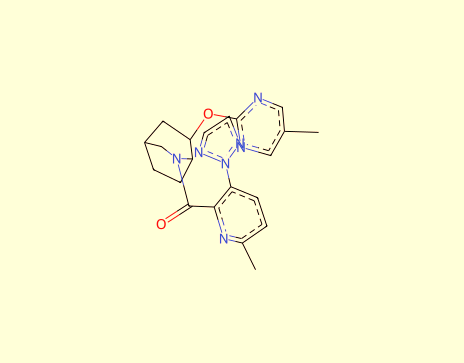 Cc1cnc(OC2CC3CCC2N(C(=O)c2nc(C)ccc2-n2nccn2)C3)nc1